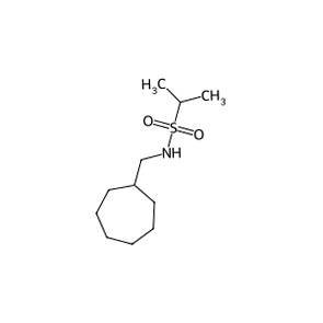 CC(C)S(=O)(=O)NCC1CCCCCC1